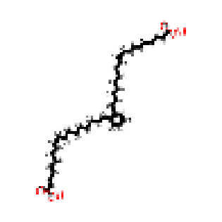 O=C(O)CCCCCCC/C=C\CCCCCCCCc1ccccc1CCCCCCCC/C=C\CCCCCCCC(=O)O